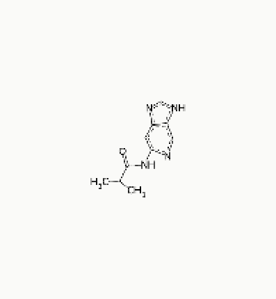 CC(C)C(=O)Nc1cc2nc[nH]c2cn1